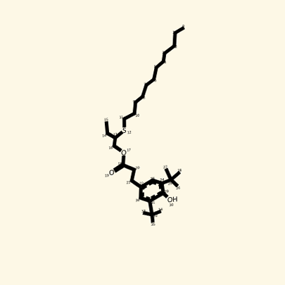 CCCCCCCCCCCCSC(CC)COC(=O)CCc1cc(C(C)(C)C)c(O)c(C(C)(C)C)c1